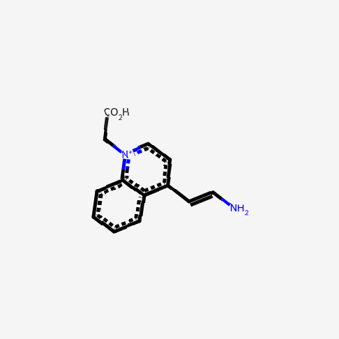 N/C=C/c1cc[n+](CC(=O)O)c2ccccc12